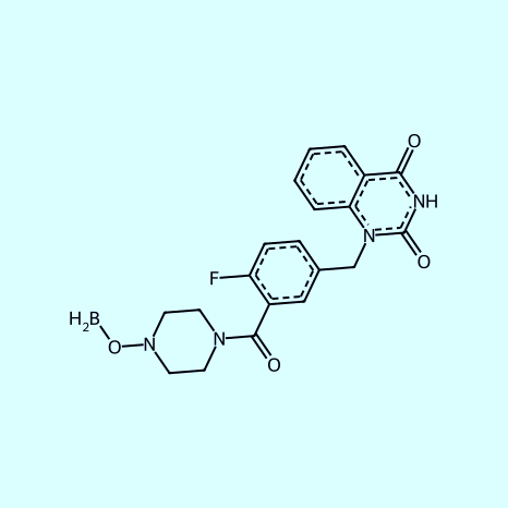 BON1CCN(C(=O)c2cc(Cn3c(=O)[nH]c(=O)c4ccccc43)ccc2F)CC1